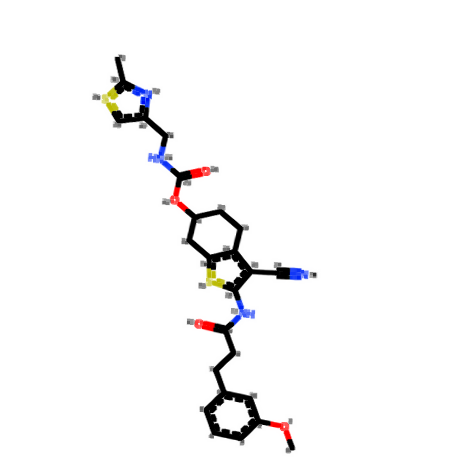 COc1cccc(CCC(=O)Nc2sc3c(c2C#N)CCC(OC(=O)NCc2csc(C)n2)C3)c1